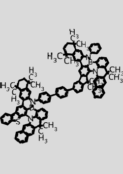 CC1(C)CCC(C)(C)c2cc3c(cc21)-c1cc2c(c4c1B(c1cccc5c1N4c1cc4ccccc4cc1C5(C)C)N3c1ccccc1)C(C)(C)c1ccc(-c3ccc(-c4ccc(N5B6c7cccc8c7N(c7cc9ccccc9cc7C8(C)C)c7c6c(cc6c7sc7ccccc76)-c6cc7c(cc65)C(C)(C)CCC7(C)C)cc4)cc3)cc1-2